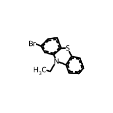 CCN1c2ccccc2Sc2ccc(Br)cc21